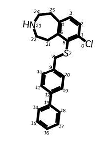 Clc1ccc2c(c1SCc1ccc(-c3ccccc3)cc1)CCNCC2